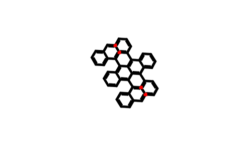 c1ccc(-c2c3ccccc3c(-c3ccccc3)c3c(-c4cccc5ccccc45)c4ccccc4c(-c4cccc5ccccc45)c23)cc1